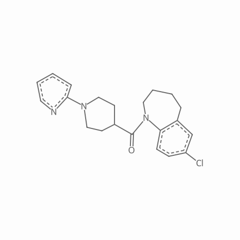 O=C(C1CCN(c2ccccn2)CC1)N1CCCCc2cc(Cl)ccc21